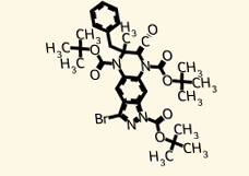 CC(C)(C)OC(=O)N1C(=C=O)C(C)(Cc2ccccc2)N(C(=O)OC(C)(C)C)c2cc3c(Br)nn(C(=O)OC(C)(C)C)c3cc21